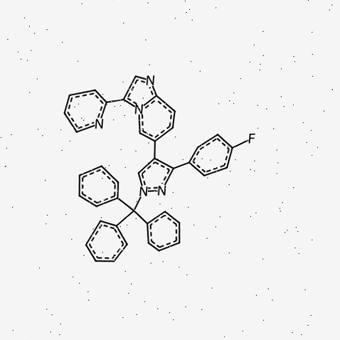 Fc1ccc(-c2nn(C(c3ccccc3)(c3ccccc3)c3ccccc3)cc2-c2ccc3ncc(-c4ccccn4)n3c2)cc1